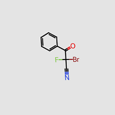 N#CC(F)(Br)C(=O)c1ccccc1